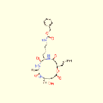 CCC/C=C/[C@@H]1CC(=O)N[C@H](CCCCNC(=O)OCc2ccccc2)C(=O)N[C@H](CC)C(=O)N[C@H](C(C)C)[C@@H](O)CC(=O)O1